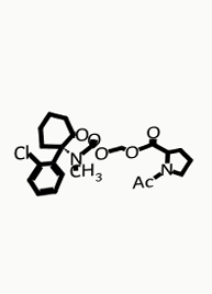 CC(=O)N1CCCC1C(=O)OCOC(=O)N(C)[C@]1(c2ccccc2Cl)CCCCC1=O